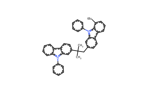 CC(C)(C)c1cccc2c3ccc(CC(C)(C)c4ccc5c6ccccc6n(-c6ccccc6)c5c4)cc3n(-c3ccccc3)c12